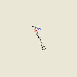 CNC(=O)/C=C/C=C/CCCCc1ccccc1